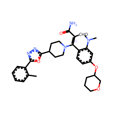 Cc1ccccc1-c1nnc(C2CCN(/C(=C(/C=O)C(N)=O)c3ccc(OC4CCCOC4)cc3N(C)C)CC2)o1